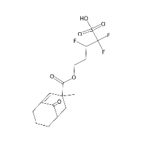 CC1(C(=O)OCCC(F)C(F)(F)S(=O)(=O)O)C=C2CCCC(C1)C2=O